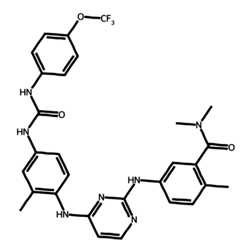 Cc1cc(NC(=O)Nc2ccc(OC(F)(F)F)cc2)ccc1Nc1ccnc(Nc2ccc(C)c(C(=O)N(C)C)c2)n1